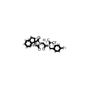 C[C@H](N(Cc1ccc(F)cc1)C(=O)CN1C(=O)NC2(CCc3ccccc32)C1=O)C(F)(F)F